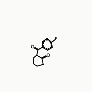 O=C1CCCCC1C(=O)c1ccc(F)cc1